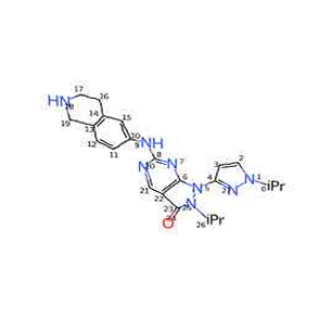 CC(C)n1ccc(-n2c3nc(Nc4ccc5c(c4)CCNC5)ncc3c(=O)n2C(C)C)n1